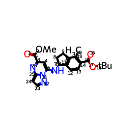 COC(=O)c1cc(N[C@H]2CCc3c2ccc(C(=O)OC(C)(C)C)c3C)n2nccc2n1